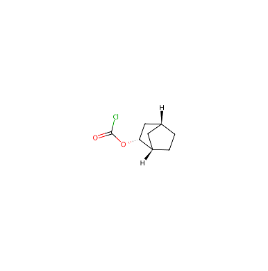 O=C(Cl)O[C@@H]1C[C@@H]2CC[C@H]1C2